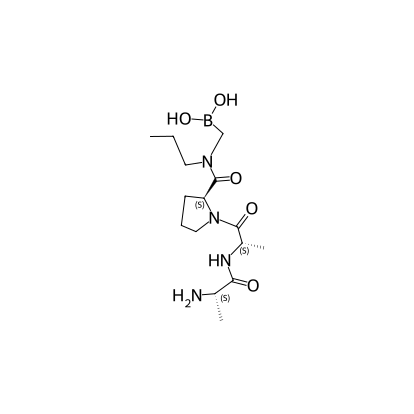 CCCN(CB(O)O)C(=O)[C@@H]1CCCN1C(=O)[C@H](C)NC(=O)[C@H](C)N